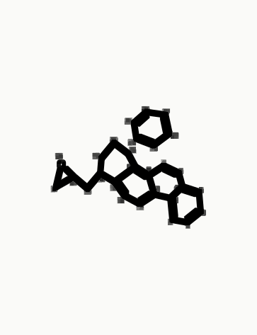 c1ccc2c(c1)ccc1c3c(ccc12)C(CC1CO1)CCC3.c1ccccc1